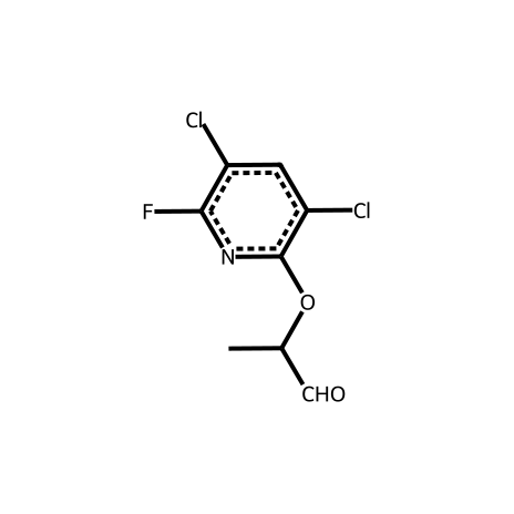 CC(C=O)Oc1nc(F)c(Cl)cc1Cl